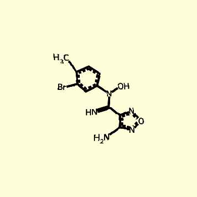 Cc1ccc(N(O)C(=N)c2nonc2N)cc1Br